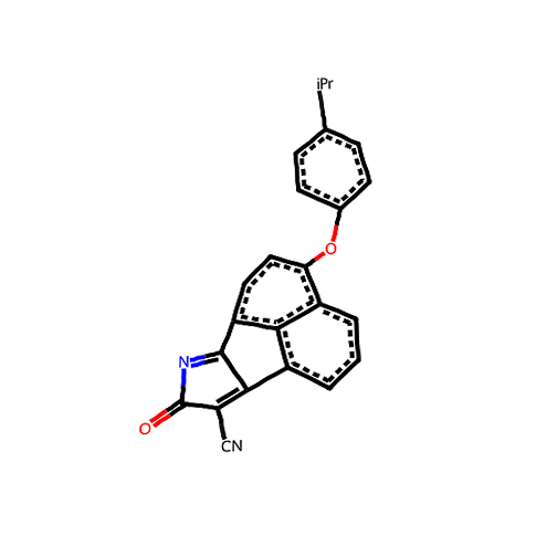 CC(C)c1ccc(Oc2ccc3c4c(cccc24)C2=C(C#N)C(=O)N=C23)cc1